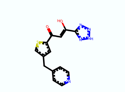 O=C(C=C(O)c1nn[nH]n1)c1cc(Cc2ccncc2)cs1